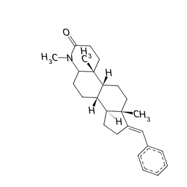 CN1C(=O)CC[C@@]2(C)C1CC[C@@H]1[C@H]2CC[C@]2(C)C(=Cc3ccccc3)CC[C@@H]12